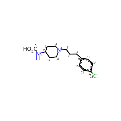 O=C(O)NC1CCN(CCCc2ccc(Cl)cc2)CC1